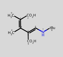 CC(C(=O)O)=C(C)C(=CNC(C)(C)C)C(=O)O